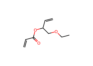 C=CC(=O)OC(C=C)COCC